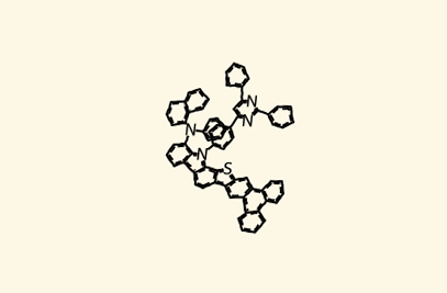 c1ccc(-c2cc(-c3ccc(-n4c5c(N(c6ccccc6)c6cccc7ccccc67)cccc5c5ccc6c7cc8c9ccccc9c9ccccc9c8cc7sc6c54)cc3)nc(-c3ccccc3)n2)cc1